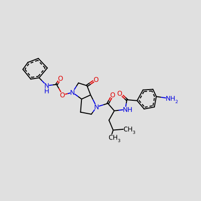 CC(C)CC(NC(=O)c1ccc(N)cc1)C(=O)N1CCC2C1C(=O)CN2OC(=O)Nc1ccccc1